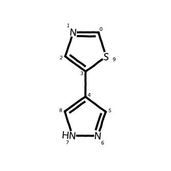 c1ncc(-c2cn[nH]c2)s1